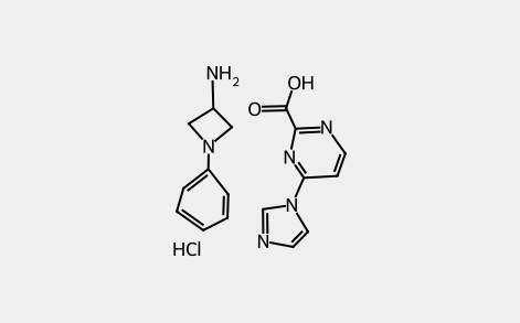 Cl.NC1CN(c2ccccc2)C1.O=C(O)c1nccc(-n2ccnc2)n1